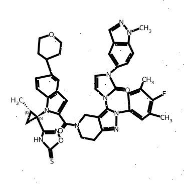 Cc1cc(-n2nc3c(c2-n2ccn(-c4ccc5c(cnn5C)c4)c2=O)CN(C(=O)c2cc4cc(C5CCOCC5)ccc4n2[C@@]2(c4noc(=S)[nH]4)C[C@@H]2C)CC3)cc(C)c1F